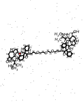 CN[C@@H](C)C(=O)N[C@@H]1C(=O)N2[C@@H](CC[C@@H]1CO)CC[C@H]2C(=O)NC(C(=O)NCCCOCCOCCOCCCNC(=O)C(NC(=O)[C@@H]1CC[C@@H]2CC[C@H](CO)[C@H](NC(=O)[C@H](C)NC)C(=O)N21)(c1ccccc1)c1ccccc1)(c1ccccc1)c1ccccc1